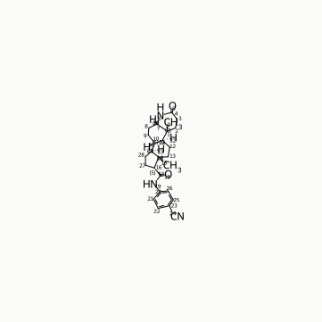 C[C@]12CCC(=O)N[C@@H]1CC[C@@H]1[C@@H]2CC[C@]2(C)[C@@H](C(=O)Nc3ccc(C#N)cc3)CC[C@@H]12